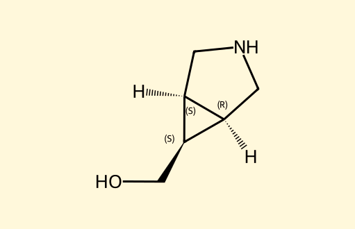 OC[C@H]1[C@H]2CNC[C@@H]12